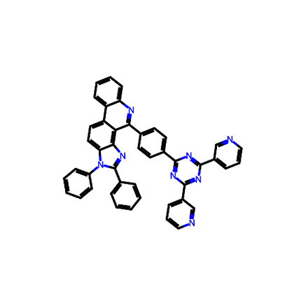 c1ccc(-c2nc3c4c(-c5ccc(-c6nc(-c7cccnc7)nc(-c7cccnc7)n6)cc5)nc5ccccc5c4ccc3n2-c2ccccc2)cc1